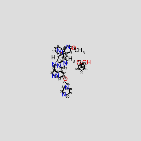 COc1ccc(CN2C3CC2CN(CC(C)(C)c2cnc(-c4cc(OCCN5C=CC=NC=C5)cn5ncc(C#N)c45)cn2)C3)cn1.O=C(O)C1C2CCCC1C2